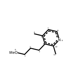 COCCCc1c(C)ccnc1C